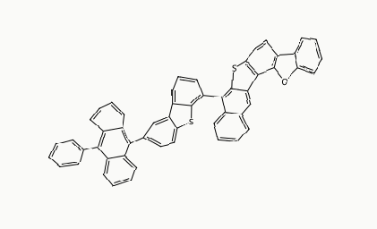 c1ccc(-c2c3ccccc3c(-c3ccc4sc5c(-c6c7ccccc7cc7c6sc6ccc8c9ccccc9oc8c67)cccc5c4c3)c3ccccc23)cc1